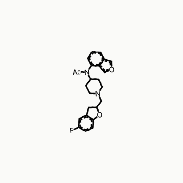 CC(=O)N(c1cccc2cocc12)C1CCN(CC2Cc3cc(F)ccc3O2)CC1